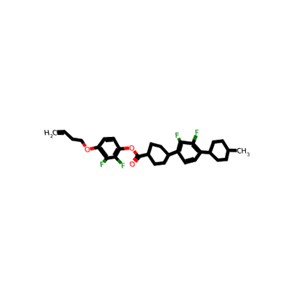 C=CCCOc1ccc(OC(=O)C2CCC(c3ccc(C4CCC(C)CC4)c(F)c3F)CC2)c(F)c1F